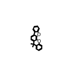 CC1(C)c2ccccc2Oc2c1ccc1c2oc2ccccc21